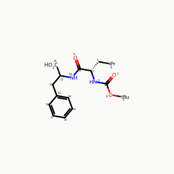 CC(C)C[C@H](NC(=O)OC(C)(C)C)C(=O)NC(Cc1ccccc1)C(=O)O